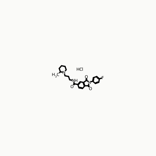 CC1CCCCN1CCCNC(=O)c1ccc2c(c1)C(=O)N(c1ccc(F)cc1)C2=O.Cl